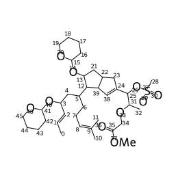 CC=CC(CC(CCC=C(C)C)C1C(OC2CCCCO2)CC2CC(C(OS(C)(=O)=O)C(C)OCC(=O)OC)=CC21)OC1CCCCO1